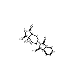 CC12CCCCC1C(=O)OC2=O.O=C1OC(=O)c2ccccc21